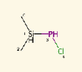 C[SiH](C)PCl